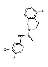 O=C(Nc1cc(Cl)c(Cl)cn1)N1CCc2c(ccnc2F)C1